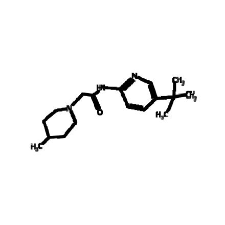 CC1CCN(CC(=O)Nc2ccc(C(C)(C)C)cn2)CC1